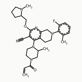 C=CC(=O)N1CCN(c2c(C#N)c(OCC3CCCN3C)nc3c2CCN(c2c(C)cccc2F)C3)C(C)C1